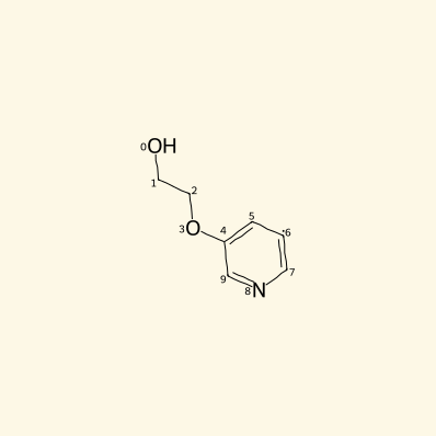 OCCOc1c[c]cnc1